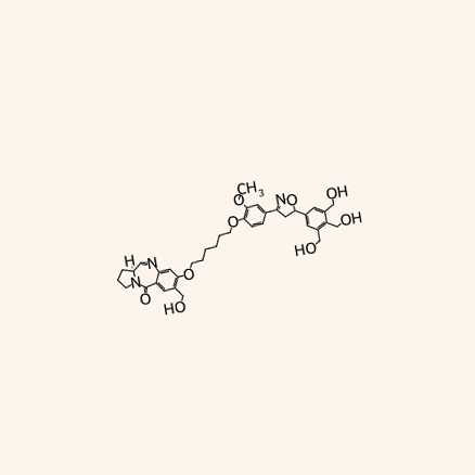 COc1cc(C2=NOC(c3cc(CO)c(CO)c(CO)c3)C2)ccc1OCCCCCCOc1cc2c(cc1CO)C(=O)N1CCC[C@H]1C=N2